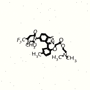 Cc1ccc(OCC(=O)OCCN(C)C)c(-c2nsc3ccc(-n4c(=O)cc(C(F)(F)F)n(C)c4=O)cc23)c1